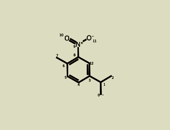 [CH2]C(C)c1ccc(C)c([N+](=O)[O-])c1